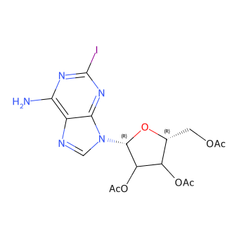 CC(=O)OC[C@H]1O[C@@H](n2cnc3c(N)nc(I)nc32)C(OC(C)=O)C1OC(C)=O